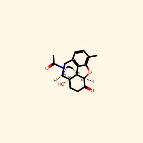 CC(=O)N1CC[C@]23c4c5ccc(C)c4O[C@H]2C(=O)CC[C@@]3(O)[C@H]1C5